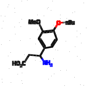 CCCCOc1ccc(C(N)CC(=O)O)cc1OC